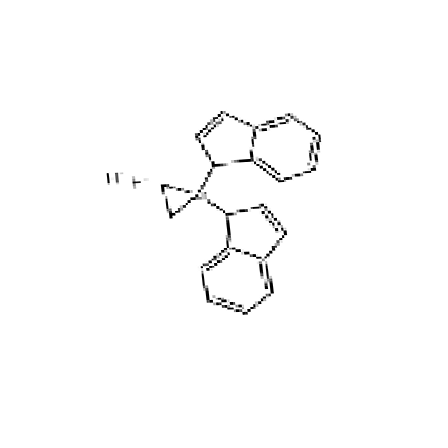 C1=C[CH]([Zr]2([CH]3C=Cc4ccccc43)[CH2][CH2]2)c2ccccc21.[H-].[H-]